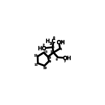 CC(O)C(CO)(CO)C1CCCCC1